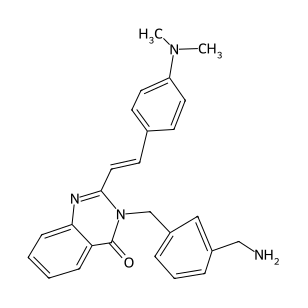 CN(C)c1ccc(C=Cc2nc3ccccc3c(=O)n2Cc2cccc(CN)c2)cc1